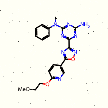 COCCOc1ccc(-c2nc(-c3nc(N)nc(N(C)c4ccccc4)n3)no2)cn1